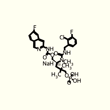 CN(C(=O)NCc1cccc(F)c1Cl)[C@H](COC(=O)Nc1cc2cc(F)ccc2cn1)CC(C)(C)COP(=O)(O)O.[NaH]